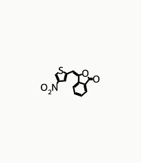 O=C1O/C(=C/c2cc([N+](=O)[O-])cs2)c2ccccc21